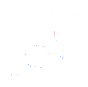 O=C(O)N1CCc2c(OS(=O)(=O)C(F)(F)F)n[nH]c2C1